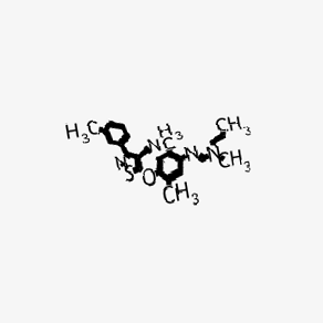 CCCN(C)C=Nc1cc(C)c(Oc2snc(-c3cccc(C)c3)c2C#N)cc1C